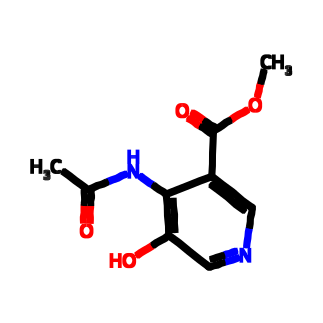 COC(=O)c1cncc(O)c1NC(C)=O